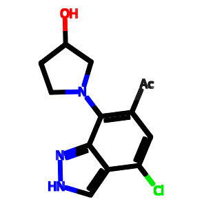 CC(=O)c1cc(Cl)c2c[nH]nc2c1N1CCC(O)C1